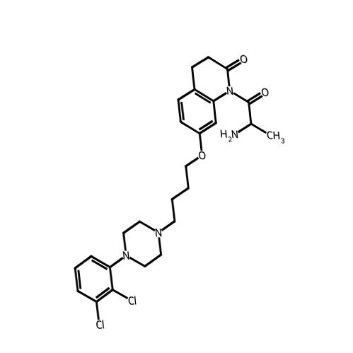 CC(N)C(=O)N1C(=O)CCc2ccc(OCCCCN3CCN(c4cccc(Cl)c4Cl)CC3)cc21